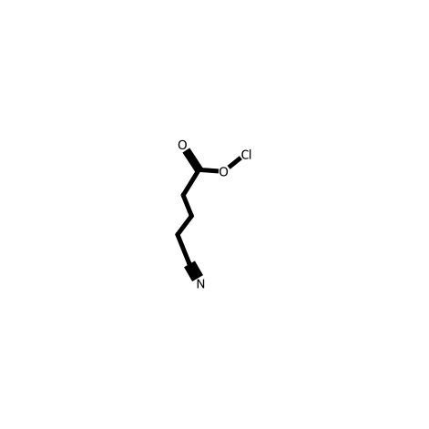 N#CCCCC(=O)OCl